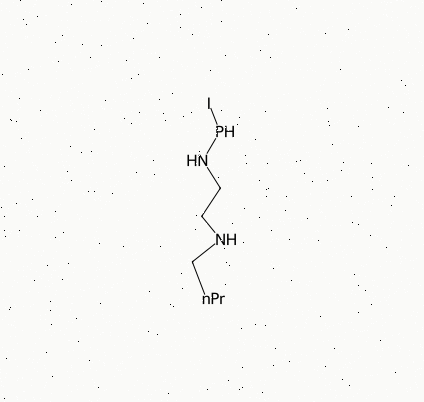 CCCCNCCNPI